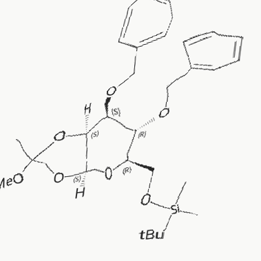 COC1(C)O[C@@H]2O[C@H](CO[Si](C)(C)C(C)(C)C)[C@@H](OCc3ccccc3)[C@H](OCc3ccccc3)[C@@H]2O1